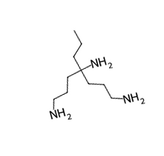 CCCC(N)(CCCN)CCCN